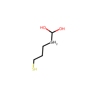 OC(O)[SiH2]CCCS